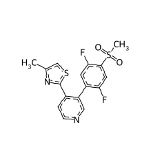 Cc1csc(-c2ccncc2-c2cc(F)c(S(C)(=O)=O)cc2F)n1